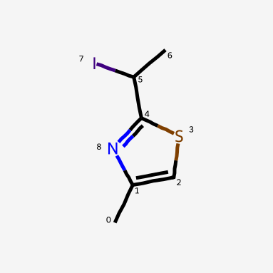 Cc1csc(C(C)I)n1